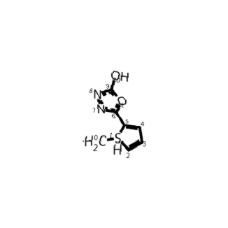 [CH2][SH]1C=CC=C1c1nnc(O)o1